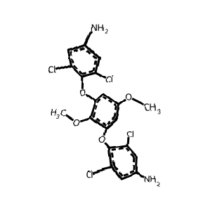 COc1cc(Oc2c(Cl)cc(N)cc2Cl)c(OC)c(Oc2c(Cl)cc(N)cc2Cl)c1